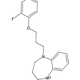 Fc1ccccc1OCCCN1CCCNc2ccccc21